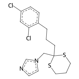 Clc1ccc(CCCC2(Cn3ccnc3)SCCCS2)c(Cl)c1